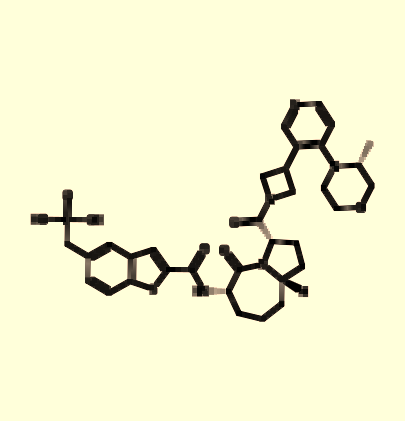 C[C@@H]1COCCN1c1ccncc1C1CN(C(=O)[C@@H]2CC[C@@H]3CCC[C@H](NC(=O)c4cc5cc(CP(=O)(O)O)ccc5s4)C(=O)N32)C1